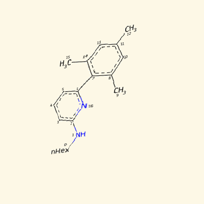 CCCCCCNc1cccc(-c2c(C)cc(C)cc2C)n1